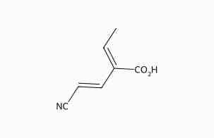 CC=C(C=CC#N)C(=O)O